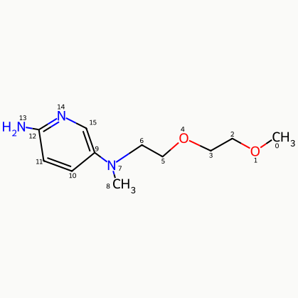 COCCOCCN(C)c1ccc(N)nc1